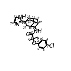 CC(C)(Oc1ccc(Cl)cc1)C(=O)NC1C2CC3CC1CC(c1ncc[nH]1)(C3)C2